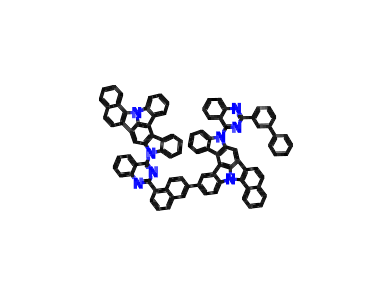 c1ccc(-c2cccc(-c3nc(-n4c5ccccc5c5c6c7cc(-c8ccc9c(-c%10nc(-n%11c%12ccccc%12c%12c%13c%14ccccc%14n%14c%15c%16ccccc%16ccc%15c(cc%12%11)c%13%14)c%11ccccc%11n%10)cccc9c8)ccc7n7c8c9ccccc9ccc8c(cc54)c67)c4ccccc4n3)c2)cc1